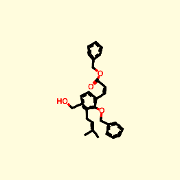 CC(C)=CCc1c(CO)ccc(/C=C\C(=O)OCc2ccccc2)c1OCc1ccccc1